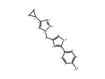 Clc1ccc(-c2nc(Cn3cc(C4CC4)nn3)cs2)cc1